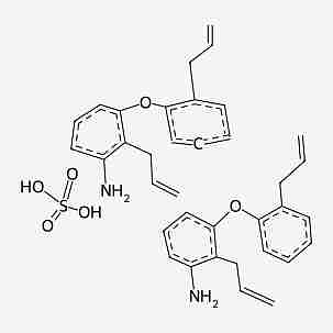 C=CCc1ccccc1Oc1cccc(N)c1CC=C.C=CCc1ccccc1Oc1cccc(N)c1CC=C.O=S(=O)(O)O